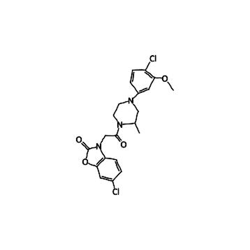 COc1cc(N2CCN(C(=O)Cn3c(=O)oc4cc(Cl)ccc43)C(C)C2)ccc1Cl